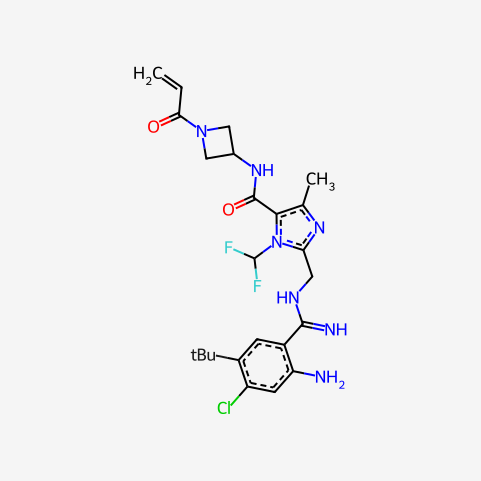 C=CC(=O)N1CC(NC(=O)c2c(C)nc(CNC(=N)c3cc(C(C)(C)C)c(Cl)cc3N)n2C(F)F)C1